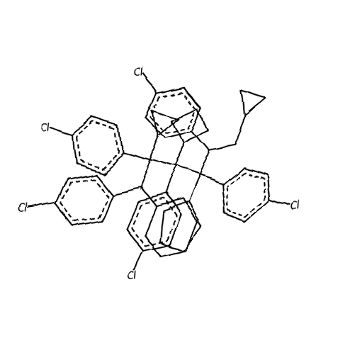 Clc1ccc([C](C2CCCCC2)C(c2ccc(Cl)cc2)(C2CC2)C(c2ccc(Cl)cc2)(C2CCC2)C(c2ccc(Cl)cc2)(C2CCCC2)C(CC2CC2)c2ccc(Cl)cc2)cc1